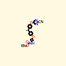 C[C@@H](c1ccc(Oc2cnc(C#N)nc2)cc1)c1ccc(OC2CC(NC(=O)OC(C)(C)C)C2)cc1